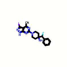 N#Cc1nc(N2CCC(N)(C(F)c3ccccc3)CC2)nc2[nH]nc(I)c12